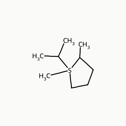 CC(C)S1(C)CCCC1C